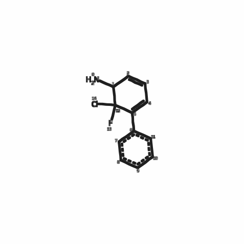 NC1C=CC=C(c2ccccc2)C1(F)Cl